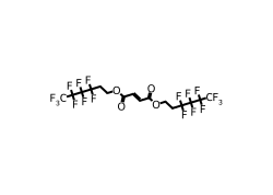 O=C(/C=C/C(=O)OCCC(F)(F)C(F)(F)C(F)(F)C(F)(F)F)OCCC(F)(F)C(F)(F)C(F)(F)C(F)(F)F